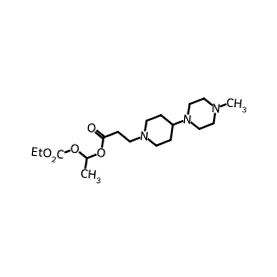 CCOC(=O)OC(C)OC(=O)CCN1CCC(N2CCN(C)CC2)CC1